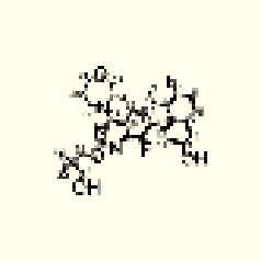 CCc1c(F)ccc2cc(O)cc(-c3ncc4c(N5CCCOCC5)nc(OCC5(CO)CC5)nc4c3F)c12